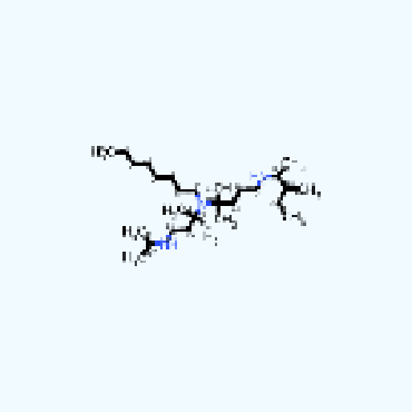 CCCCCCCCN(C(C)(C)CCCNC(C)C(C)CC)C(C)(C)CCNC(C)C